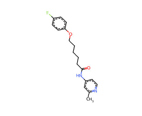 Cc1cc(NC(=O)CCCCCOc2ccc(F)cc2)ccn1